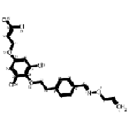 C=CCON=Cc1ccc(CCOc2c(Cl)cc(OCC=C(Cl)Cl)cc2Cl)cc1